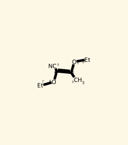 CCO/C(C)=C(\C#N)OCC